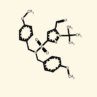 COc1ccc(CN(Cc2ccc(OC)cc2)S(=O)(=O)c2cc(C=O)n(C(C)(C)C)n2)cc1